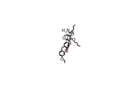 CCCCO[C@@H]1[C@@H](OCCCC)[C@@]2(c3ccc(Cl)c(Cc4ccc(OCC)cc4)c3)OC[C@](C(N)=O)(O2)[C@H]1OCCCC